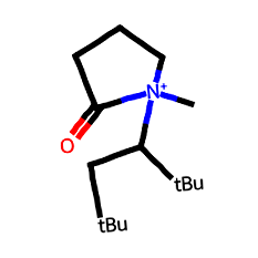 CC(C)(C)CC(C(C)(C)C)[N+]1(C)CCCC1=O